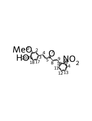 COc1cc(C=CC(=O)C=Cc2ccccc2[N+](=O)[O-])ccc1O